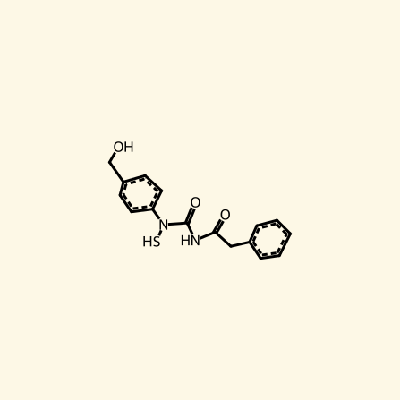 O=C(Cc1ccccc1)NC(=O)N(S)c1ccc(CO)cc1